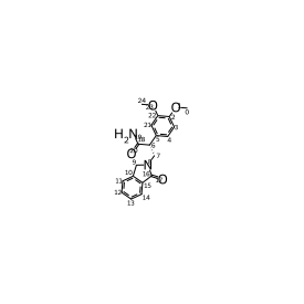 COc1ccc([C@H](CN2Cc3ccccc3C2=O)C(N)=O)cc1OC